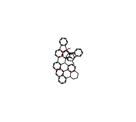 CC1C=CC(C2(C)c3ccccc3-c3ccc(-c4ccccc4N(c4ccccc4-c4cccc5cccc(C6CCCCC6)c45)c4cccc5c4sc4ccccc45)cc32)=CC1